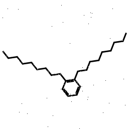 CCCCCCCCCc1[c]cc[c]c1CCCCCCCCC